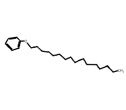 CCCCCCCCCCCCCCCCOc1cc[c]cc1